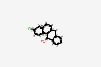 O=C1c2ccccc2Cc2ccc3cc(Cl)ccc3c21